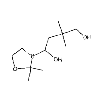 CC(C)(CO)CC(O)N1CCOC1(C)C